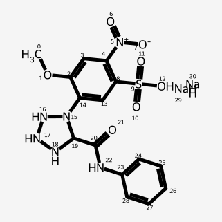 COc1cc([N+](=O)[O-])c(S(=O)(=O)O)cc1N1NNNC1C(=O)Nc1ccccc1.[NaH].[NaH]